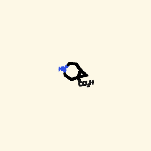 O=C(O)C12CCNCCC1C2